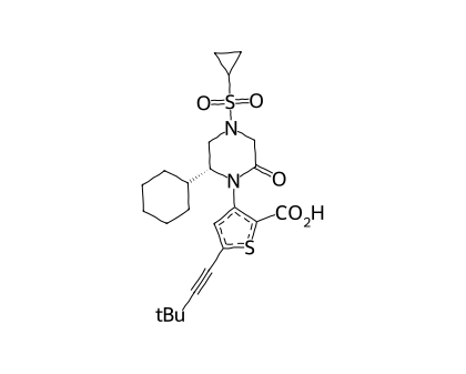 CC(C)(C)C#Cc1cc(N2C(=O)CN(S(=O)(=O)C3CC3)C[C@H]2C2CCCCC2)c(C(=O)O)s1